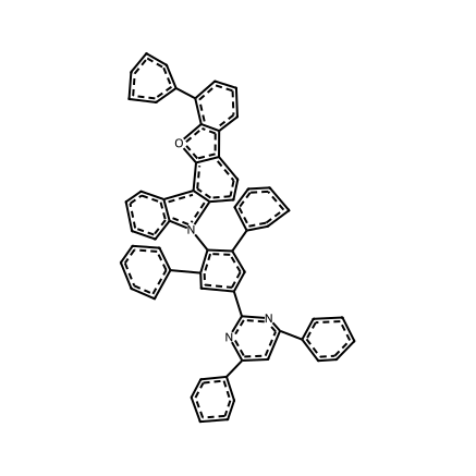 c1ccc(-c2cc(-c3ccccc3)nc(-c3cc(-c4ccccc4)c(-n4c5ccccc5c5c6oc7c(-c8ccccc8)cccc7c6ccc54)c(-c4ccccc4)c3)n2)cc1